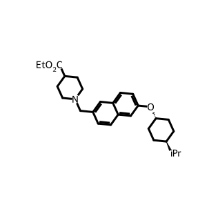 CCOC(=O)C1CCN(Cc2ccc3cc(O[C@H]4CC[C@H](C(C)C)CC4)ccc3c2)CC1